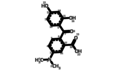 CN(C)c1ccc(C(=O)c2ccc(O)cc2O)c(C(=O)O)c1